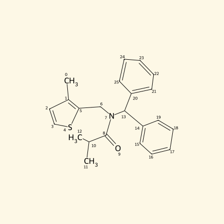 Cc1ccsc1CN(C(=O)C(C)C)C(c1ccccc1)c1ccccc1